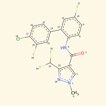 Cn1cc(C(=O)Nc2ccc(F)cc2-c2ccc(Cl)c(F)c2)c(C(F)F)n1